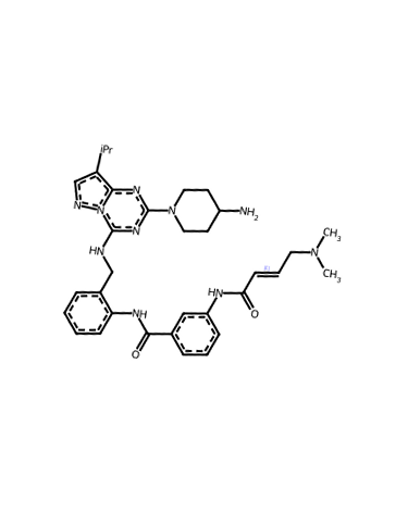 CC(C)c1cnn2c(NCc3ccccc3NC(=O)c3cccc(NC(=O)/C=C/CN(C)C)c3)nc(N3CCC(N)CC3)nc12